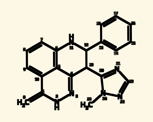 C=C1NN=C2c3c(cccc31)NC(c1ccccc1)C2c1ncnn1C